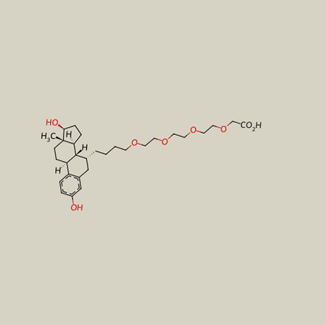 C[C@]12CC[C@@H]3c4ccc(O)cc4C[C@@H](CCCCOCCOCCOCCOCC(=O)O)[C@H]3[C@@H]1CC[C@@H]2O